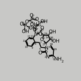 NC1=NC(=O)[N+](CCc2ccccc2[N+](=O)[O-])([C@@H]2O[C@H](COP(=O)(O)OP(=O)(O)OP(=O)(O)O)[C@@H](O)[C@H]2O)C=C1